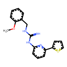 COc1ccccc1CNC(=N)Nc1cccc(-c2cccs2)n1